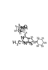 Cc1nc(CN2C(=O)C3CCC2CN3)c2cc(C3CCCCC3)sc2n1